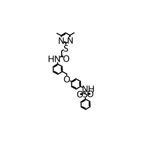 Cc1cc(C)nc(SCC(=O)Nc2cccc(COc3ccc(NS(=O)(=O)c4ccccc4)cc3)c2)n1